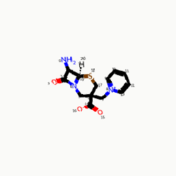 NC1C(=O)N2CC(C[n+]3ccccc3)(C(=O)[O-])CS[C@H]12